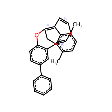 Cc1ccc(C)c(C2=C3\C/C(=C\C/C=C\2)c2cc(-c4ccccc4)ccc2O3)c1